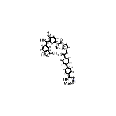 CCN(C(=O)[C@@H]1CCN(CC(=O)N2CC=C(c3ccc(C(=N)/N=C\NC)cc3)CC2)C1)c1ccc(N)c(C(=N)c2ccc3[nH]nc(C)c3c2)n1